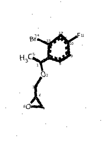 CC(OCC1CO1)c1ccc(F)cc1Br